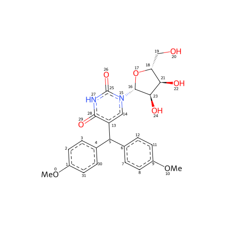 COc1ccc(C(c2ccc(OC)cc2)c2cn([C@@H]3O[C@H](CO)[C@@H](O)[C@H]3O)c(=O)[nH]c2=O)cc1